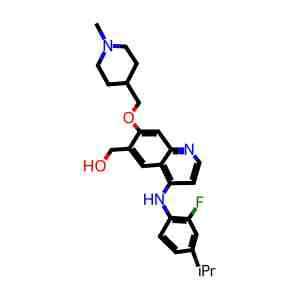 CC(C)c1ccc(Nc2ccnc3cc(OCC4CCN(C)CC4)c(CO)cc23)c(F)c1